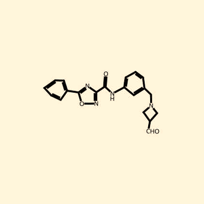 O=CC1CN(Cc2cccc(NC(=O)c3noc(-c4ccccc4)n3)c2)C1